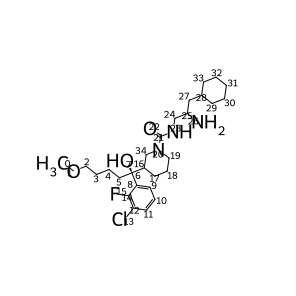 COCCCC[C@@](O)(c1cccc(Cl)c1F)C1CCCN(C(=O)NCC(N)CC2CCCCC2)C1